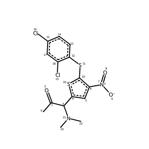 CC(=O)C(c1cc([N+](=O)[O-])c(Sc2ccc(Cl)cc2Cl)s1)N(C)C